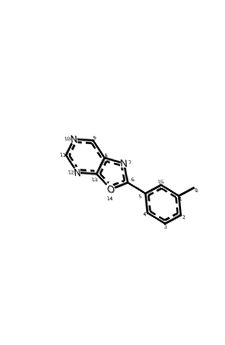 Cc1cccc(-c2nc3cncnc3o2)c1